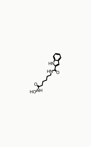 O=C(CCCCCNC(=O)c1cc2ccccc2[nH]1)NO